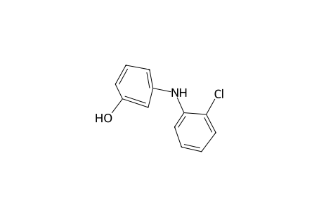 Oc1cccc(Nc2ccccc2Cl)c1